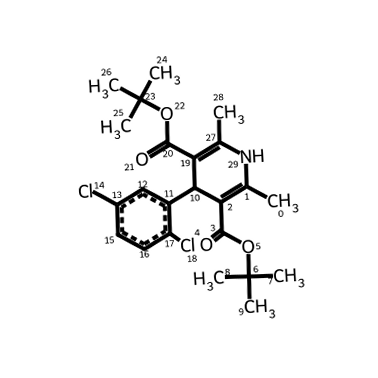 CC1=C(C(=O)OC(C)(C)C)C(c2cc(Cl)ccc2Cl)C(C(=O)OC(C)(C)C)=C(C)N1